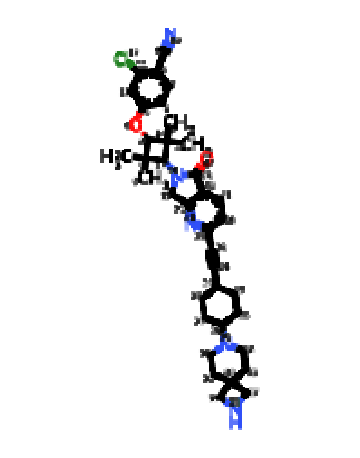 CC1(C)[C@H](Oc2ccc(C#N)c(Cl)c2)C(C)(C)[C@H]1N1Cc2nc(C#CC3CCC(N4CCC5(CC4)CNC5)CC3)ccc2C1=O